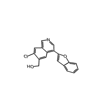 OCc1cc2c(-c3cc4ccccc4o3)cncc2cc1Cl